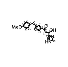 COc1ccc(Sc2cc(C(=O)C=C(O)c3nc[nH]n3)co2)cc1